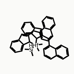 C[SiH](C)[Hf]([CH3])([CH3])([CH]1C(Cc2cccc3ccccc23)=Cc2ccccc21)[CH]1C(Cc2cccc3ccccc23)=Cc2ccccc21